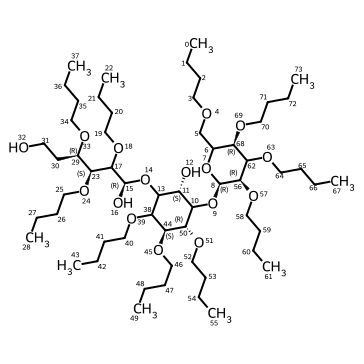 CCCCOCC1O[C@H](OC2[C@@H](O)C(O[C@@H](O)C(OCCCC)[C@@H](OCCCC)[C@@H](CCO)OCCCC)C(OCCCC)[C@H](OCCCC)[C@H]2OCCCC)[C@H](OCCCC)C(OCCCC)[C@@H]1OCCCC